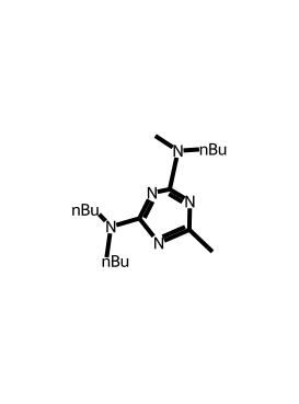 CCCCN(C)c1nc(C)nc(N(CCCC)CCCC)n1